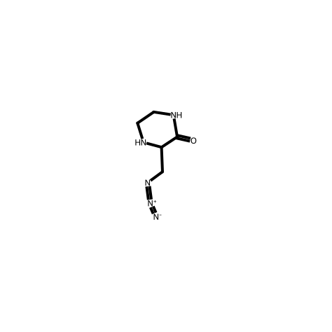 [N-]=[N+]=NCC1NCCNC1=O